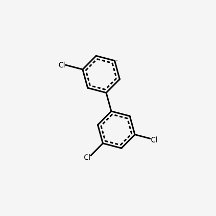 Clc1c[c]cc(-c2cc(Cl)cc(Cl)c2)c1